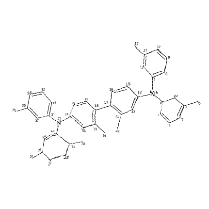 CC1=CC=CC(N(c2cccc(C)c2)c2ccc(-c3ccc(N(C4=CC(C)CCC4C)c4cccc(C)c4)cc3C)c(C)c2)C1